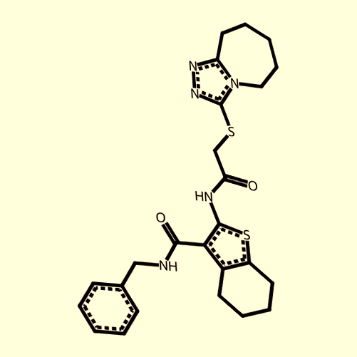 O=C(CSc1nnc2n1CCCCC2)Nc1sc2c(c1C(=O)NCc1ccccc1)CCCC2